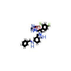 C[C@@H](N1C=C2C=C(NCc3ccccc3)C=CC2N1)[C@](O)(Cn1cncn1)c1ccc(F)cc1F